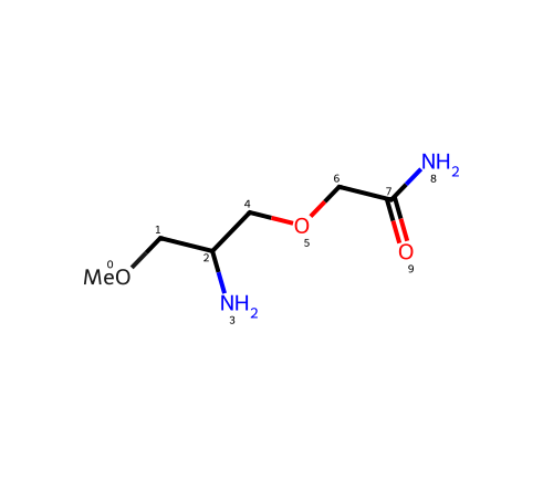 COCC(N)COCC(N)=O